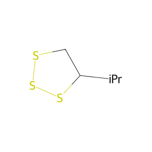 CC(C)C1CSSS1